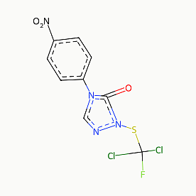 O=c1n(-c2ccc([N+](=O)[O-])cc2)cnn1SC(F)(Cl)Cl